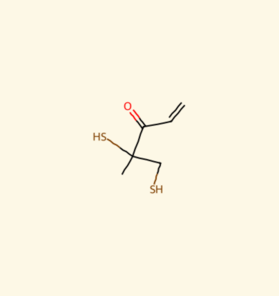 C=CC(=O)C(C)(S)CS